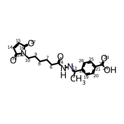 C/C(=N\NC(=O)CCCCCN1C(=O)C=CC1=O)c1ccc(C(=O)O)cc1